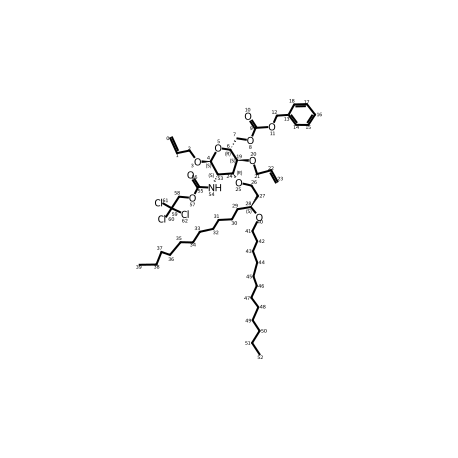 C=CCO[C@H]1O[C@H](COC(=O)OCc2ccccc2)[C@@H](OCC=C)[C@H](OCC[C@H](CCCCCCCCCCC)OCCCCCCCCCCCC)[C@@H]1NC(=O)OCC(Cl)(Cl)Cl